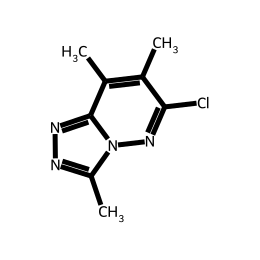 Cc1c(Cl)nn2c(C)nnc2c1C